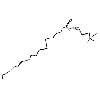 CCCCCCCCCCCCCCCCC(=O)OOCC[N+](C)(C)C